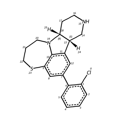 Clc1ccccc1-c1cc2c3c(c1)[C@H]1CNCC[C@H]1N3CCCS2